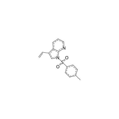 C=Cc1cn(S(=O)(=O)c2ccc(C)cc2)c2ncccc12